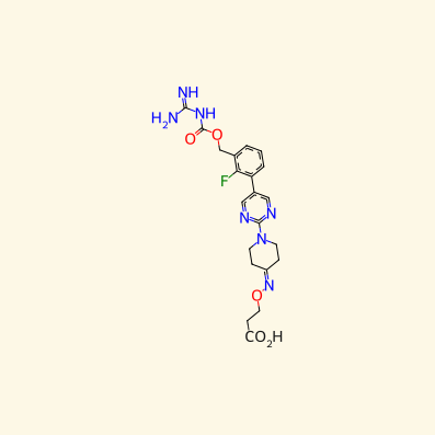 N=C(N)NC(=O)OCc1cccc(-c2cnc(N3CCC(=NOCCC(=O)O)CC3)nc2)c1F